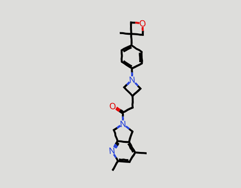 Cc1cc(C)c2c(n1)CN(C(=O)CC1CN(c3ccc(C4(C)COC4)cc3)C1)C2